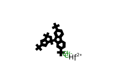 CC(C)(C)C1=CC2C(=C1)C(C)(C)CC2(C)C1c2cc(C(C)(C)C)ccc2-c2ccc(C(C)(C)C)cc21.[Cl-].[Cl-].[Hf+2]